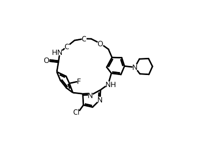 O=C1NCCCCOCc2cc(cc(N3CCCCC3)c2)Nc2ncc(Cl)c(n2)-c2ccc1cc2F